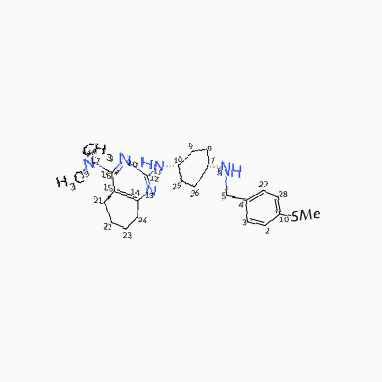 CSc1ccc(CN[C@H]2CC[C@@H](Nc3nc4c(c(N(C)C)n3)CCCC4)CC2)cc1